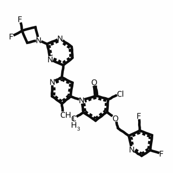 Cc1cnc(-c2ccnc(N3CC(F)(F)C3)n2)cc1-n1c(C)cc(OCc2ncc(F)cc2F)c(Cl)c1=O